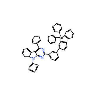 c1ccc(-c2nc(-c3cccc(-c4cccc([Si](c5ccccc5)(c5ccccc5)c5ccccc5)c4)c3)nc3c2c2ccccc2n3-c2ccccc2)cc1